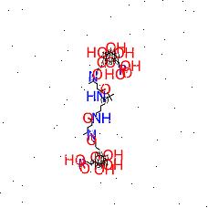 C/C(CCC(=O)N[C@@H](CCCCNC(=O)CC/C(C)=N/OCCC[C@H]1O[C@H](CCP(C)(=O)O)[C@@H](O)[C@H](O)[C@@H]1O)C(C)(C)C)=N/OCCO[C@H]1O[C@H](CCP(=O)(O)O)[C@@H](O)[C@H](O)[C@@H]1O